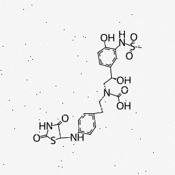 CS(=O)(=O)Nc1cc([C@@H](O)CN(CCc2ccc(NC3SC(=O)NC3=O)cc2)C(=O)O)ccc1O